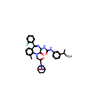 Cc1cccc2c1N(CC(=O)N1CC3CCC(CC3)C1)C(=O)[C@H](NC(=O)Nc1cccc(C(C)S(=O)(=O)O)c1)N=C2c1ccccc1F